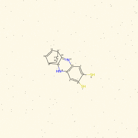 Sc1cc2c(cc1S)NC1C(=N2)C2C=CC1CC2